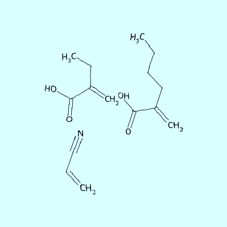 C=C(CC)C(=O)O.C=C(CCCC)C(=O)O.C=CC#N